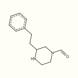 O=CN1CCNC(CCc2ccccc2)C1